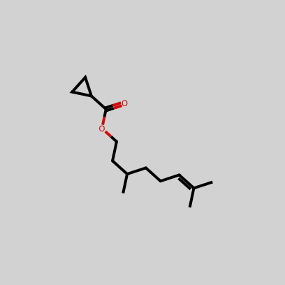 CC(C)=CCCC(C)CCOC(=O)C1CC1